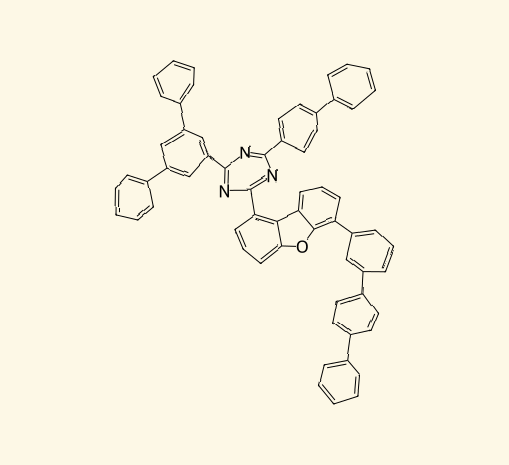 c1ccc(-c2ccc(-c3cccc(-c4cccc5c4oc4cccc(-c6nc(-c7ccc(-c8ccccc8)cc7)nc(-c7cc(-c8ccccc8)cc(-c8ccccc8)c7)n6)c45)c3)cc2)cc1